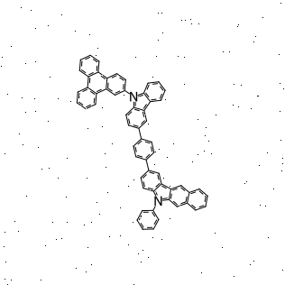 c1ccc(-n2c3ccc(-c4ccc(-c5ccc6c(c5)c5ccccc5n6-c5ccc6c7ccccc7c7ccccc7c6c5)cc4)cc3c3cc4ccccc4cc32)cc1